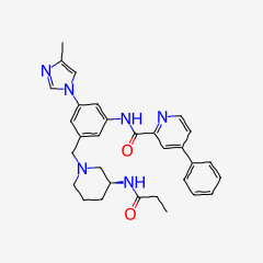 CCC(=O)N[C@H]1CCCN(Cc2cc(NC(=O)c3cc(-c4ccccc4)ccn3)cc(-n3cnc(C)c3)c2)C1